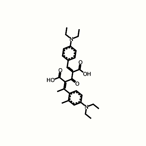 CCN(CC)c1ccc(C=C(C(=O)O)C(=O)C(C(=O)O)=C(C)c2ccc(N(CC)CC)cc2C)cc1